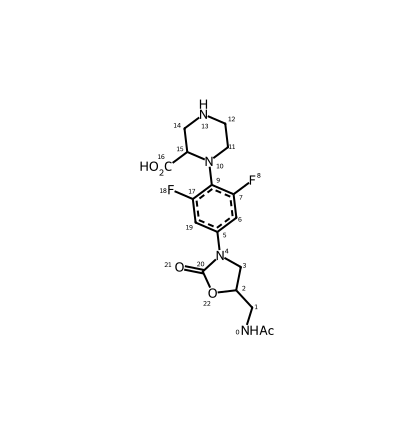 CC(=O)NCC1CN(c2cc(F)c(N3CCNCC3C(=O)O)c(F)c2)C(=O)O1